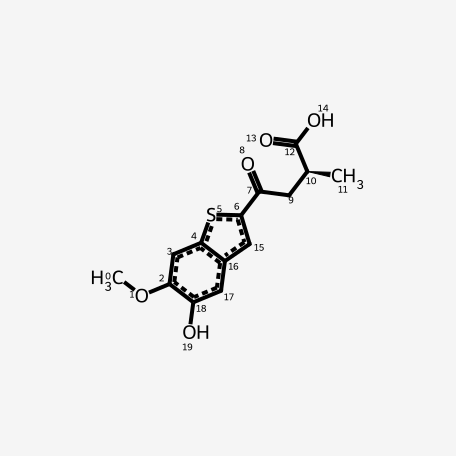 COc1cc2sc(C(=O)C[C@H](C)C(=O)O)cc2cc1O